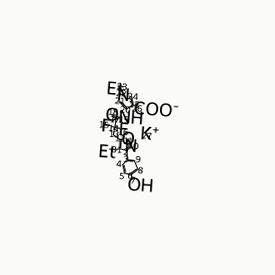 CCc1c(-c2ccc(O)cc2)noc1CC(F)(F)C(=O)Nc1cn(CC)cc1C(=O)[O-].[K+]